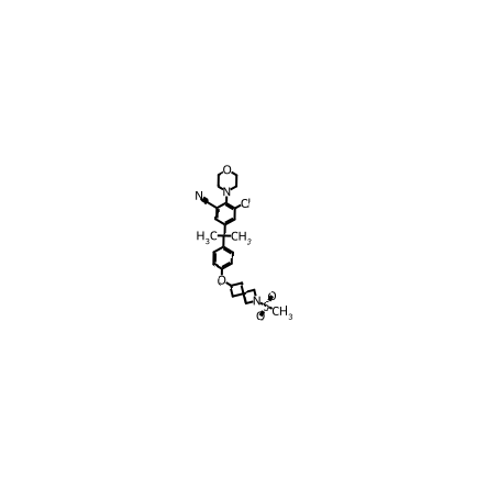 CC(C)(c1ccc(OC2CC3(C2)CN(S(C)(=O)=O)C3)cc1)c1cc(Cl)c(N2CCOCC2)c(C#N)c1